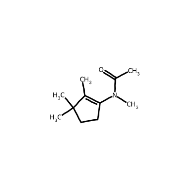 CC(=O)N(C)C1=C(C)C(C)(C)CC1